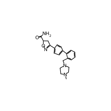 CN1CCN(Cc2ccccc2-c2ccc(C3=NOC(C(N)=O)C3)cc2)CC1